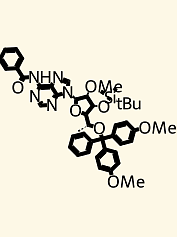 COc1ccc(C(O[C@H](C)C2O[C@@H](n3cnc4c(NC(=O)c5ccccc5)ncnc43)[C@H](OC)[C@@H]2O[Si](C)(C)C(C)(C)C)(c2ccccc2)c2ccc(OC)cc2)cc1